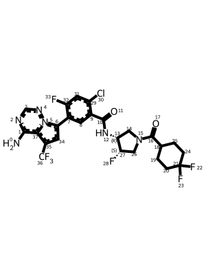 Nc1ncnn2c(-c3cc(C(=O)N[C@@H]4CN(C(=O)C5CCC(F)(F)CC5)C[C@@H]4F)c(Cl)cc3F)cc(C(F)(F)F)c12